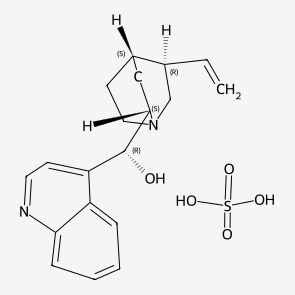 C=C[C@H]1CN2CC[C@H]1C[C@H]2[C@H](O)c1ccnc2ccccc12.O=S(=O)(O)O